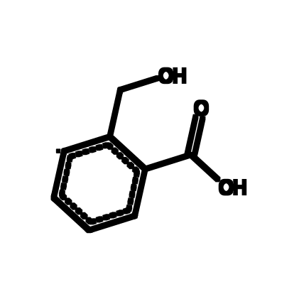 O=C(O)c1ccc[c]c1CO